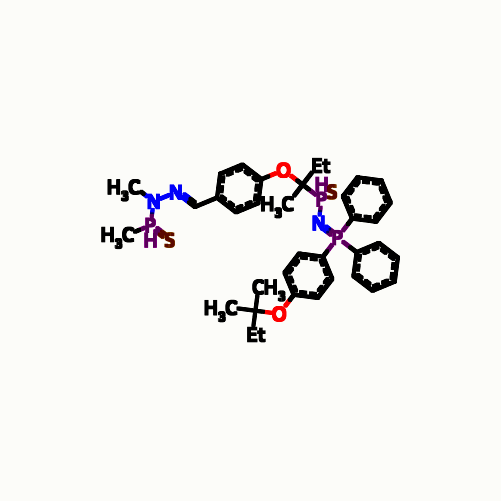 CCC(C)(C)Oc1ccc(P(=N[PH](=S)C(C)(CC)Oc2ccc(C=NN(C)[PH](C)=S)cc2)(c2ccccc2)c2ccccc2)cc1